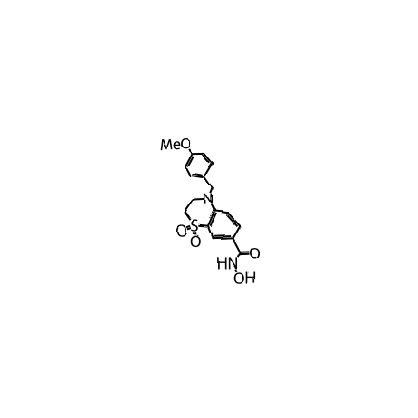 COc1ccc(CN2CCS(=O)(=O)c3cc(C(=O)NO)ccc32)cc1